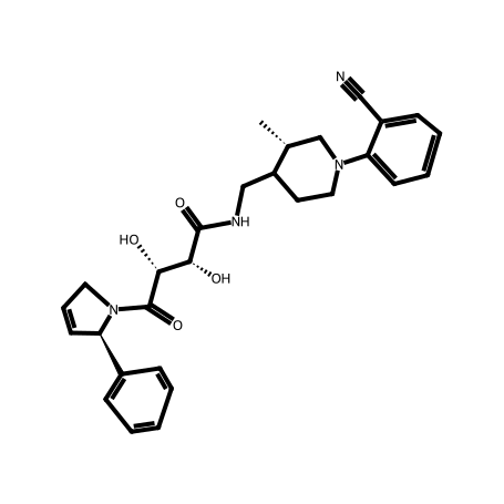 C[C@@H]1CN(c2ccccc2C#N)CCC1CNC(=O)[C@H](O)[C@@H](O)C(=O)N1CC=C[C@@H]1c1ccccc1